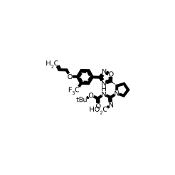 C=CCOc1ccc(-c2noc([C@@H]3CCCN3/C(=N/C(=O)O)NC(=O)OC(C)(C)C)n2)cc1C(F)(F)F